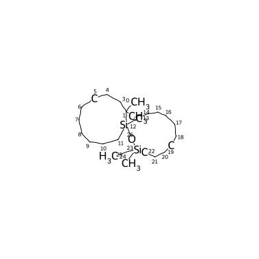 CC1(C)CCCCCCCCC[Si]12CCCCCCCCCC[Si](C)(C)O2